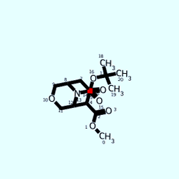 COC(=O)C1C(=O)CC2COCC1N2C(=O)OC(C)(C)C